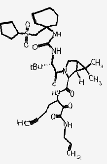 C#CCCC(NC(=O)[C@@H]1[C@@H]2C(CN1C(=O)[C@@H](NC(=O)NC1(CS(=O)(=O)C3CCCC3)CCCCC1)C(C)(C)C)C2(C)C)C(=O)C(=O)NCC=C